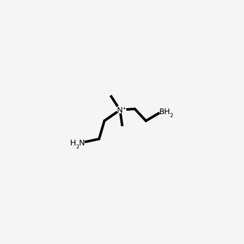 BCC[N+](C)(C)CCN